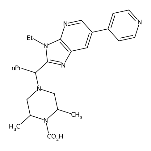 CCCC(c1nc2cc(-c3ccncc3)cnc2n1CC)N1CC(C)N(C(=O)O)C(C)C1